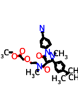 CCOC(=O)COCCN(C)C(=O)c1c(-c2ccc(C(C)(C)C)cc2)n(C)n(-c2ccc(C#N)cc2)c1=O